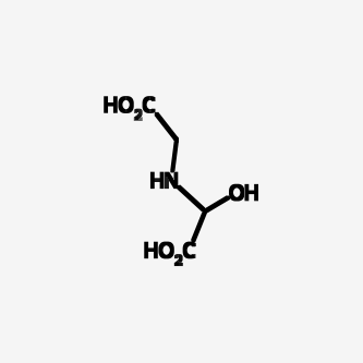 O=C(O)CNC(O)C(=O)O